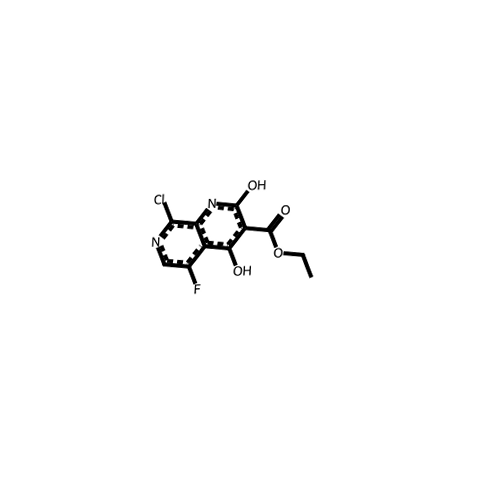 CCOC(=O)c1c(O)nc2c(Cl)ncc(F)c2c1O